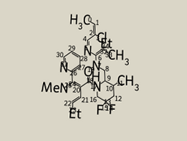 C\C=C(Cl)/C=N\C(NCC1C(C)CC(F)(F)CN1C(=O)C(/C=C/CC)=C(/NC)c1ccccn1)=C(\C)CC